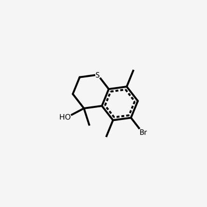 Cc1cc(Br)c(C)c2c1SCCC2(C)O